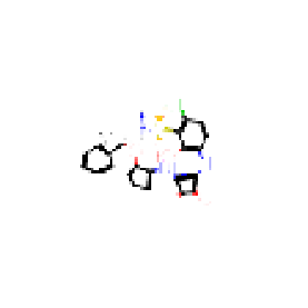 CON(C)S(=O)(=O)c1c(Cl)ccc(Nc2c(NC3CCC[C@H]3OCc3ccccc3)c(=O)c2=O)c1O